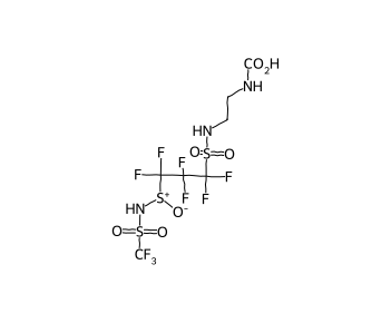 O=C(O)NCCNS(=O)(=O)C(F)(F)C(F)(F)C(F)(F)[S+]([O-])NS(=O)(=O)C(F)(F)F